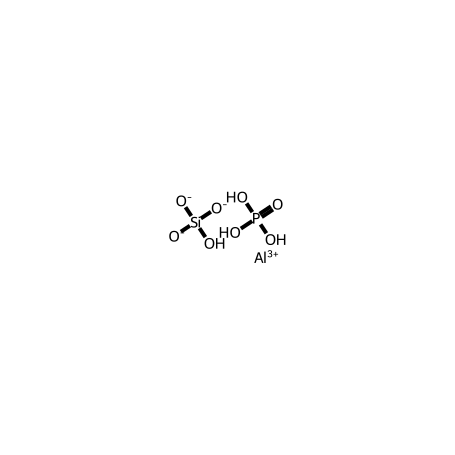 O=P(O)(O)O.[Al+3].[O-][Si]([O-])([O-])O